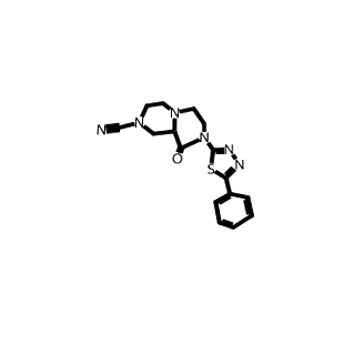 N#CN1CCN2CCN(c3nnc(-c4ccccc4)s3)C(=O)C2C1